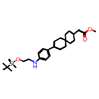 COC(=O)CC1CCC2(CC1)CCC(c1ccc(NCCO[Si](C)(C)C(C)(C)C)cc1)CC2